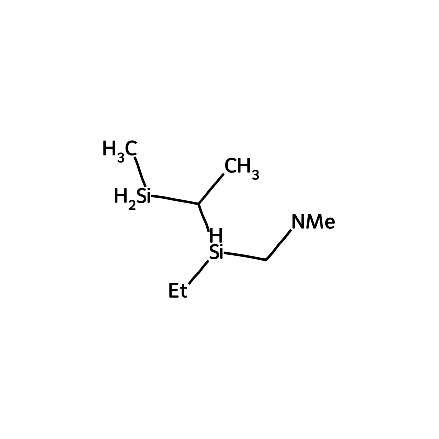 CC[SiH](CNC)C(C)[SiH2]C